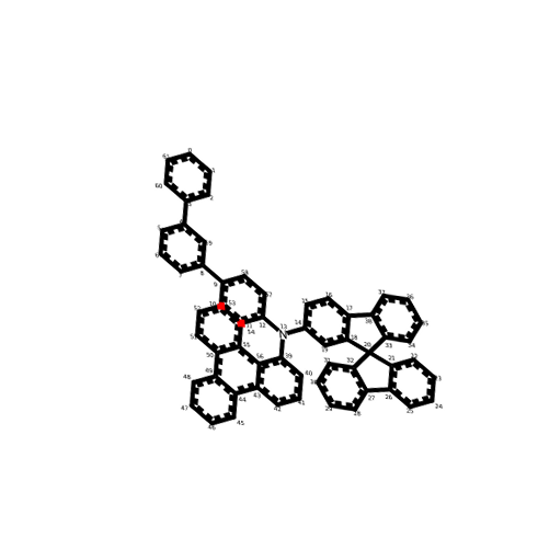 c1ccc(-c2cccc(-c3ccc(N(c4ccc5c(c4)C4(c6ccccc6-c6ccccc64)c4ccccc4-5)c4cccc5c6ccccc6c6ccccc6c45)cc3)c2)cc1